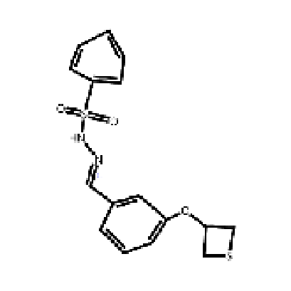 O=S(=O)(N/N=C/c1cccc(OC2CSC2)c1)c1ccccc1